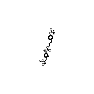 CCOC(C=O)Cc1ccc(NC(=O)OCCCc2ccc(OS(C)(=O)=O)cc2)cc1